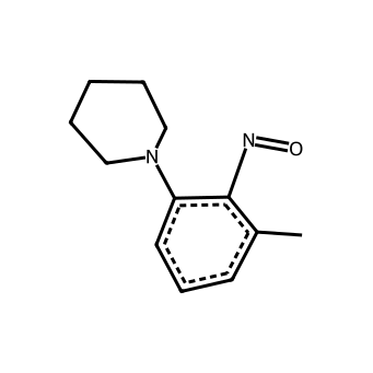 Cc1cccc(N2CCCCC2)c1N=O